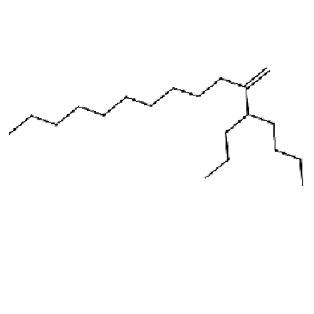 C=C(CCCCCCCCCC)C(CCC)CCCC